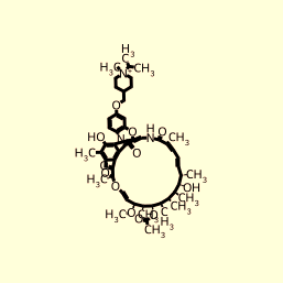 CO[C@H]1/C=C/O[C@@]2(C)Oc3c(C)c(O)c4c(=O)c(c5oc6cc(OCC7CC[N+](C)(C(C)C)CC7)ccc6nc-5c4c3C2=O)NC(=O)/C(C)=C\C=C\[C@H](C)[C@H](O)[C@@H](C)[C@@H](C)[C@@H](C)[C@H](OC(C)=O)[C@@H]1C